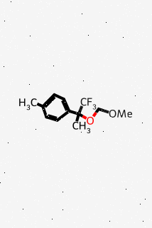 COCOC(C)(c1ccc(C)cc1)C(F)(F)F